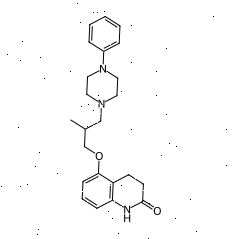 CC(COc1cccc2c1CCC(=O)N2)CN1CCN(c2ccccc2)CC1